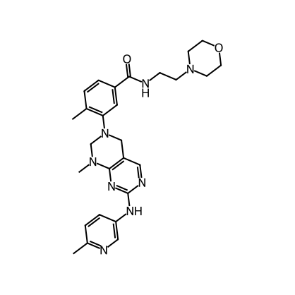 Cc1ccc(Nc2ncc3c(n2)N(C)CN(c2cc(C(=O)NCCN4CCOCC4)ccc2C)C3)cn1